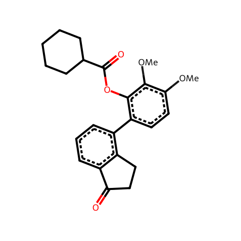 COc1ccc(-c2cccc3c2CCC3=O)c(OC(=O)C2CCCCC2)c1OC